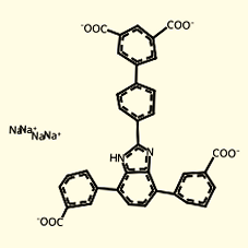 O=C([O-])c1cc(C(=O)[O-])cc(-c2ccc(-c3nc4c(-c5cccc(C(=O)[O-])c5)ccc(-c5cccc(C(=O)[O-])c5)c4[nH]3)cc2)c1.[Na+].[Na+].[Na+].[Na+]